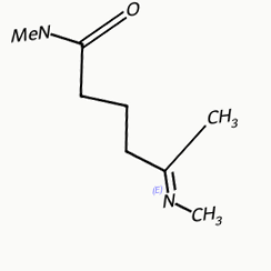 C/N=C(\C)CCCC(=O)NC